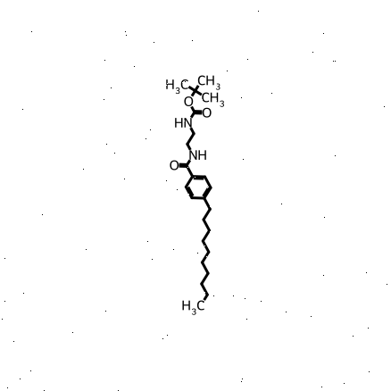 CCCCCCCCCCc1ccc(C(=O)NCCNC(=O)OC(C)(C)C)cc1